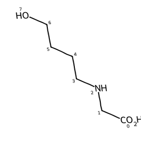 O=C(O)CNCCCCO